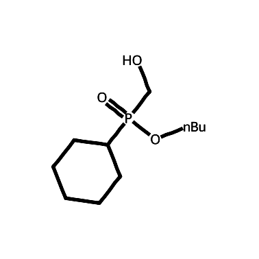 CCCCOP(=O)(CO)C1CCCCC1